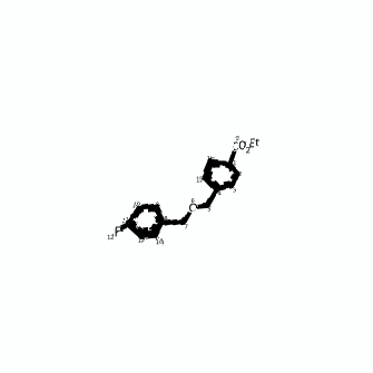 CCOC(=O)c1ccc(COCc2ccc(F)cc2)cc1